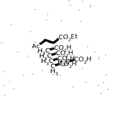 CC(=O)O.CC(=O)O.CC(=O)O.CC(=O)O.CC(=O)O.CCOC(=O)CCC(C)=O